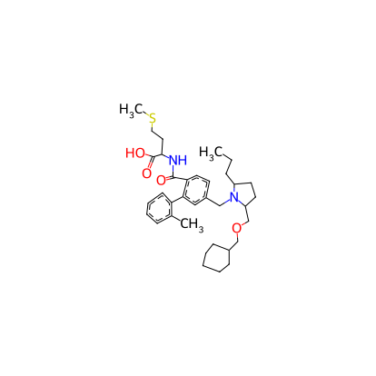 CCCC1CCC(COCC2CCCCC2)N1Cc1ccc(C(=O)NC(CCSC)C(=O)O)c(-c2ccccc2C)c1